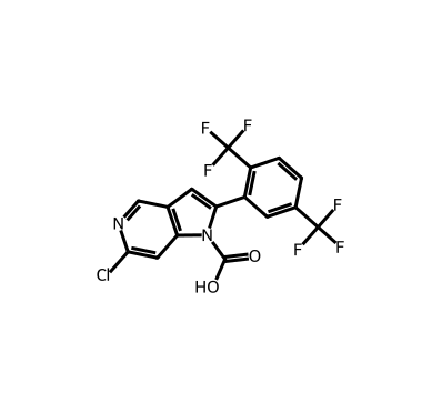 O=C(O)n1c(-c2cc(C(F)(F)F)ccc2C(F)(F)F)cc2cnc(Cl)cc21